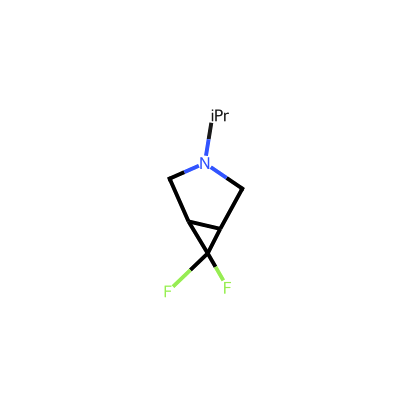 CC(C)N1CC2C(C1)C2(F)F